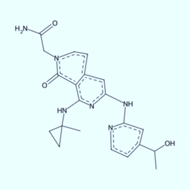 CC(O)c1ccnc(Nc2cc3ccn(CC(N)=O)c(=O)c3c(NC3(C)CC3)n2)c1